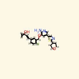 Nc1ncc(-c2cnc(C3CCOCC3)s2)cc1OCc1cc(C#CC2(O)CC2)ccc1F